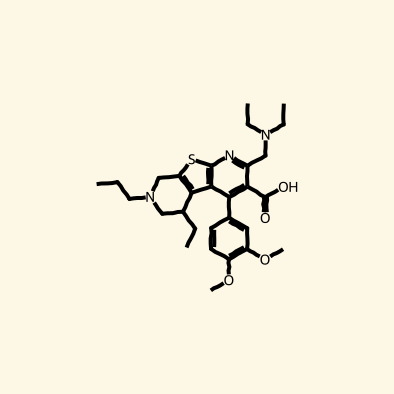 CCCN1Cc2sc3nc(CN(CC)CC)c(C(=O)O)c(-c4ccc(OC)c(OC)c4)c3c2C(CC)C1